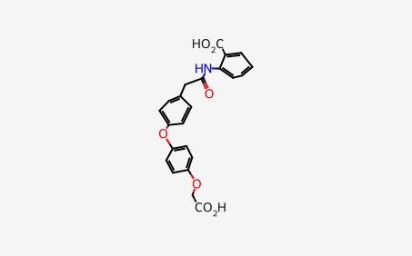 O=C(O)COc1ccc(Oc2ccc(CC(=O)Nc3ccccc3C(=O)O)cc2)cc1